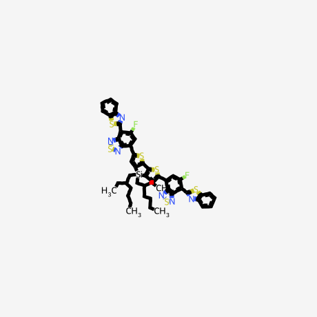 CCCCC(CC)C[Si]1(CC(CC)CCCC)c2cc(-c3cc(F)c(-c4nc5ccccc5s4)c4nsnc34)sc2-c2sc(-c3cc(F)c(-c4nc5ccccc5s4)c4nsnc34)cc21